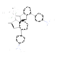 CC1=Cc2c(-c3ccc(N(C)C)cc3)cccc2[CH]1[Zr]([Cl])([Cl])([CH]1C(C)=Cc2c(-c3ccc(N(C)C)cc3)cccc21)[SiH](C)C